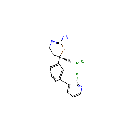 C[C@@]1(c2cccc(-c3cccnc3F)c2)CCN=C(N)S1.Cl.Cl